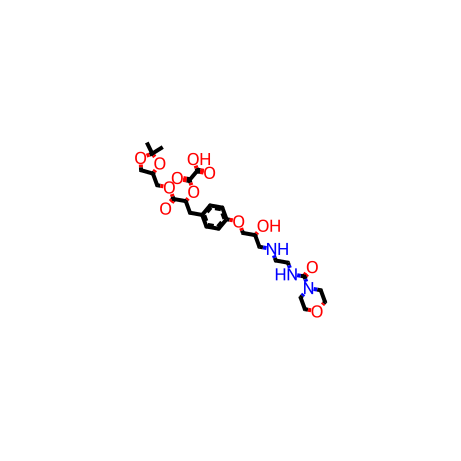 CC1(C)OCC(COC(=O)C(Cc2ccc(OCC(O)CNCCNC(=O)N3CCOCC3)cc2)OC(=O)C(=O)O)O1